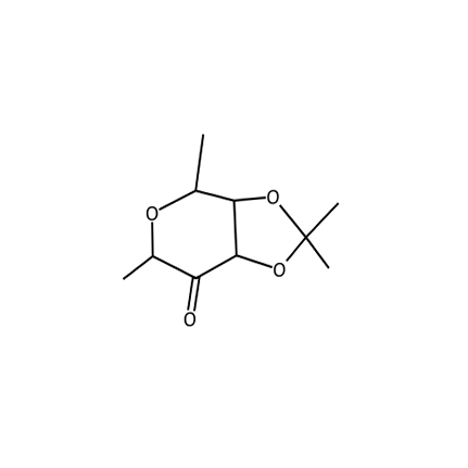 CC1OC(C)C2OC(C)(C)OC2C1=O